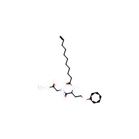 C=CCCCCCCCCC(=O)NC(CCOc1ccccc1)C(=O)NCC(=O)OC